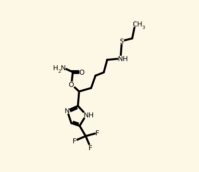 CCSNCCCCC(OC(N)=O)c1ncc(C(F)(F)F)[nH]1